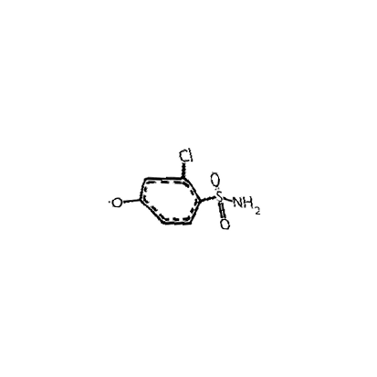 NS(=O)(=O)c1ccc([O])cc1Cl